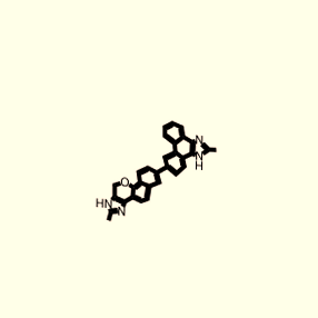 Cc1nc2c([nH]1)COc1c-2ccc2cc(-c3ccc4c(c3)c3ccccc3c3nc(C)[nH]c43)ccc12